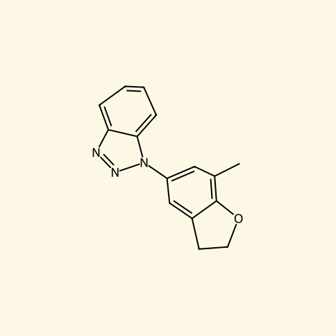 Cc1cc(-n2nnc3ccccc32)cc2c1OCC2